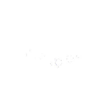 CCC1CNc2ccc(-c3cnc(N4CCC(CC(=O)OC(C)(C)C)C4)nc3)cc2O1